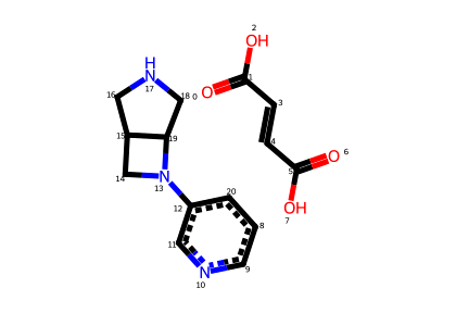 O=C(O)/C=C/C(=O)O.c1cncc(N2CC3CNCC32)c1